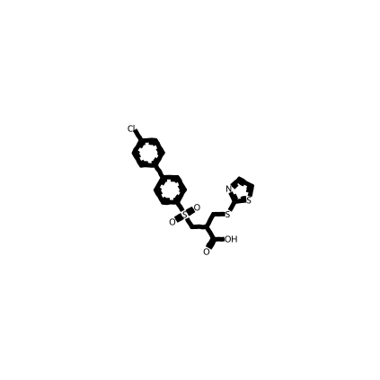 O=C(O)C(CSc1nccs1)CS(=O)(=O)c1ccc(-c2ccc(Cl)cc2)cc1